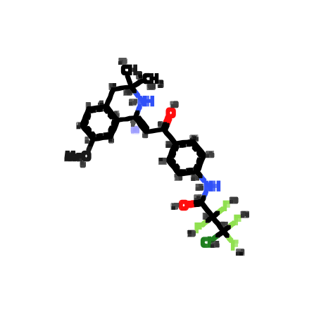 COc1ccc2c(c1)/C(=C/C(=O)c1ccc(NC(=O)C(F)(F)C(F)(F)Cl)cc1)NC(C)(C)C2